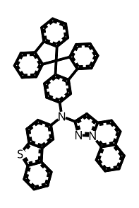 c1ccc2c(c1)-c1ccccc1C21c2ccccc2-c2cc(N(c3ccc4sc5ccccc5c4c3)c3cc4ccc5ccccc5n4n3)ccc21